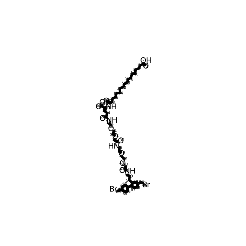 O=C(O)CCCCCCCCCCCCCCCCC(=O)NC(CCC(=O)NCCOCCOCC(=O)NCCOCCOCC(=O)NCCCc1cc(CBr)ccc1-c1ccc(CBr)cc1)C(=O)O